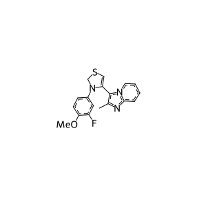 COc1ccc(N2CSC=C2c2c(C)nc3ccccn23)cc1F